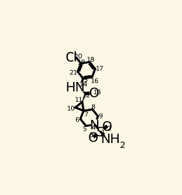 NS(=O)(=O)N1CCC2(CC1)C[C@H]2C(=O)Nc1cccc(Cl)c1